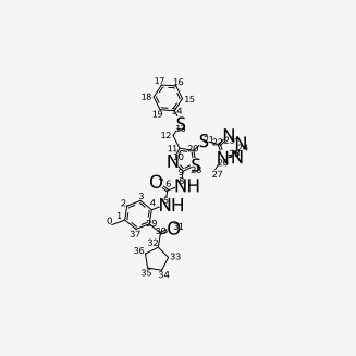 Cc1ccc(NC(=O)Nc2nc(CSc3ccccc3)c(Sc3nnnn3C)s2)c(C(=O)C2CCCC2)c1